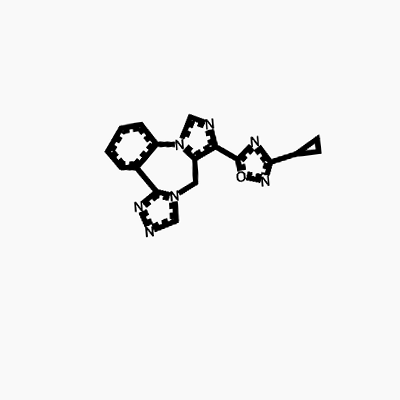 c1ccc2c(c1)-c1nncn1Cc1c(-c3nc(C4CC4)no3)ncn1-2